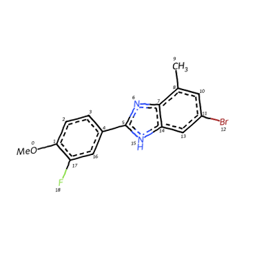 COc1ccc(-c2nc3c(C)cc(Br)cc3[nH]2)cc1F